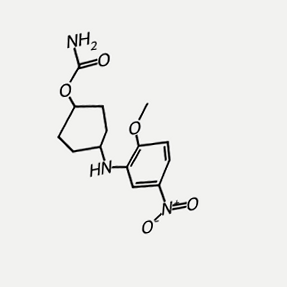 COc1ccc([N+](=O)[O-])cc1NC1CCC(OC(N)=O)CC1